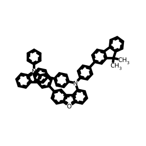 CC1(C)c2ccccc2-c2ccc(-c3ccc(N(c4ccc(-c5ccccc5)cc4)c4cccc5oc6ccc(-c7ccc8c(c7)c7ccccc7n8-c7ccccc7)cc6c45)cc3)cc21